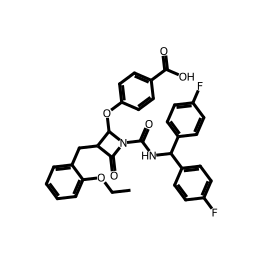 CCOc1ccccc1CC1C(=O)N(C(=O)NC(c2ccc(F)cc2)c2ccc(F)cc2)C1Oc1ccc(C(=O)O)cc1